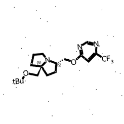 CC(C)(C)OC[C@@]12CCCN1[C@H](COc1cc(C(F)(F)F)ncn1)CC2